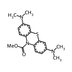 COC(=O)N1c2ccc(N(C)C)cc2Sc2cc(N(C)C)ccc21